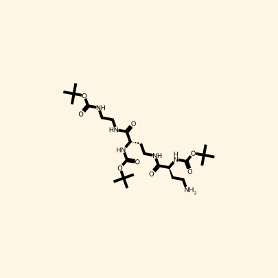 CC(C)(C)OC(=O)NCCNC(=O)[C@H](CCNC(=O)[C@H](CCN)NC(=O)OC(C)(C)C)NC(=O)OC(C)(C)C